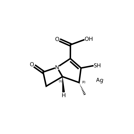 C[C@H]1C(S)=C(C(=O)O)N2C(=O)C[C@@H]12.[Ag]